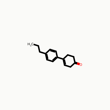 CCCc1ccc(C2=CCC(=O)CC2)cc1